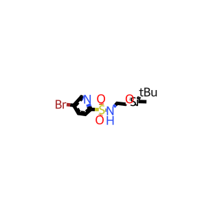 CC(C)(C)[Si](C)(C)OCCNS(=O)(=O)c1ccc(Br)cn1